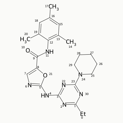 CCc1nc(Nc2ncc(C(=O)Nc3c(C)cc(C)cc3C)o2)nc(N2CCCCC2)n1